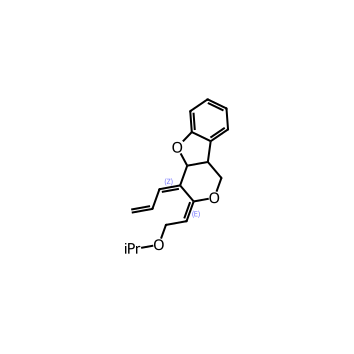 C=C/C=C1\C(=C/COC(C)C)OCC2c3ccccc3OC12